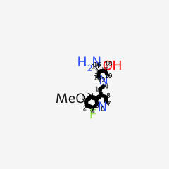 COc1cc(F)c2nccc(CCN3C[C@H](CN)[C@H](O)C3)c2c1